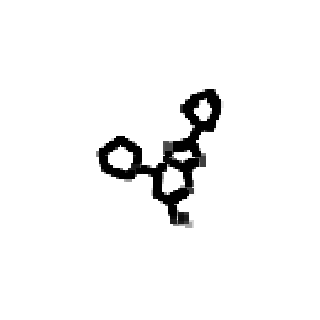 Cc1cc(N2CCCCC2)n2nc(-c3ccccc3)nc2n1